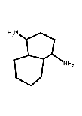 NC1CCC(N)C2CCCCC12